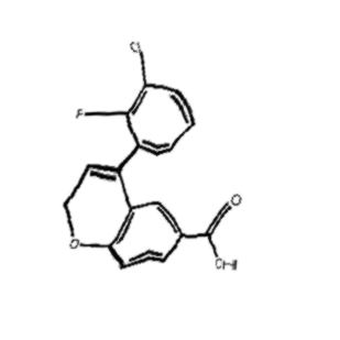 O=C(O)c1ccc2c(c1)C(c1cccc(Cl)c1F)=CCO2